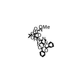 CON(C)C(=O)[C@H]1O[C@@H](n2cnc3c(N(C(=O)c4ccccc4)C(=O)c4ccccc4)ncnc32)[C@@H]2OC(C)(C)O[C@@H]21